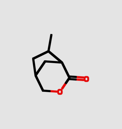 CC1CC2COC(=O)C1C2